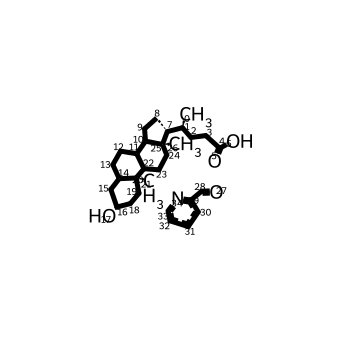 C[C@H](CCC(=O)O)[C@H]1CCC2C3CCC4C[C@H](O)CC[C@]4(C)C3CC[C@@]21C.O=Cc1ccccn1